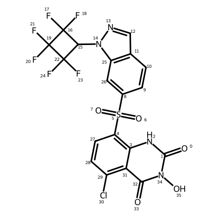 O=c1[nH]c2c(S(=O)(=O)c3ccc4cnn(C5C(F)(F)C(F)(F)C5(F)F)c4c3)ccc(Cl)c2c(=O)n1O